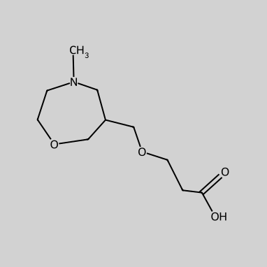 CN1CCOCC(COCCC(=O)O)C1